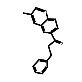 Cc1cnc2ccc(C(=O)CCc3ccccc3)cc2c1